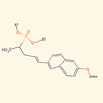 CCCCCCOc1ccc2cc(/C=C/CC(P(=O)(OCC)OCC)S(=O)(=O)O)ccc2c1